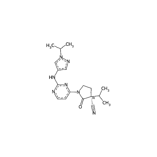 CC(C)n1cc(Nc2nccc(N3CC[C@@](C#N)(C(C)C)C3=O)n2)cn1